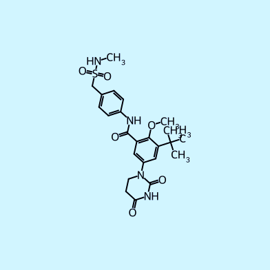 CNS(=O)(=O)Cc1ccc(NC(=O)c2cc(N3CCC(=O)NC3=O)cc(C(C)(C)C)c2OC)cc1